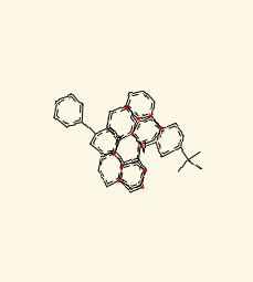 CC(C)(C)c1ccc(-c2ccccc2)c(N(c2ccccc2-c2ccc(-c3ccccc3)cc2)c2ccccc2-c2cccc3cccc(-c4ccccc4)c23)c1